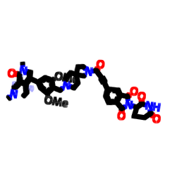 C=N/C=c1/c(=O)n(C)cc(-c2cc(OC)c(CN3CCC4(CC3)CCN(C(=O)C#Cc3ccc5c(c3)C(=O)N(C3CCC(=O)NC3=O)C5=O)C4)c(OC)c2)/c1=C/C